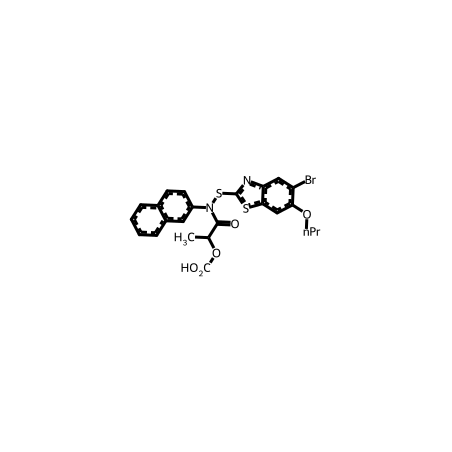 CCCOc1cc2sc(SN(C(=O)C(C)OC(=O)O)c3ccc4ccccc4c3)nc2cc1Br